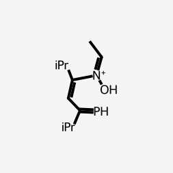 C/C=[N+](O)\C(=C/C(=P)C(C)C)C(C)C